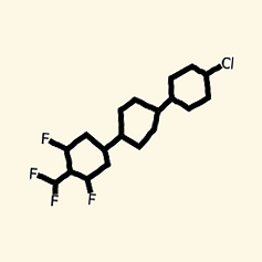 FC(F)C1C(F)CC(C2CCC(C3CCC(Cl)CC3)CC2)CC1F